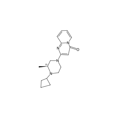 C[C@H]1CN(c2cc(=O)n3ccccc3n2)CCN1C1CCC1